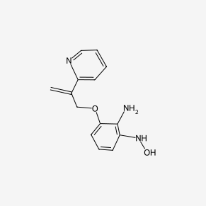 C=C(COc1cccc(NO)c1N)c1ccccn1